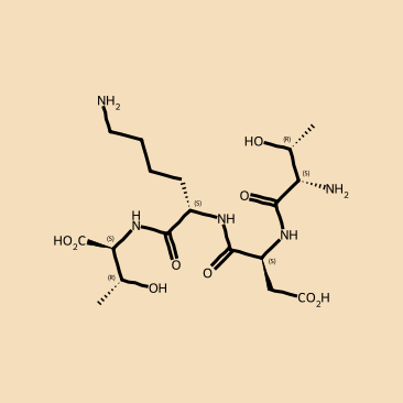 C[C@@H](O)[C@H](N)C(=O)N[C@@H](CC(=O)O)C(=O)N[C@@H](CCCCN)C(=O)N[C@H](C(=O)O)[C@@H](C)O